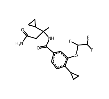 CC(CC(N)=O)(NC(=O)c1ccc(C2CC2)c(OC(F)C(F)F)c1)C1CC1